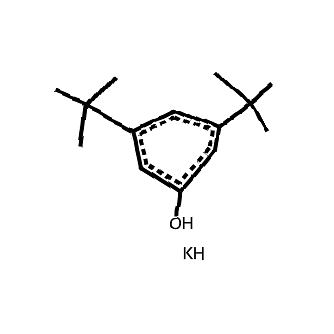 CC(C)(C)c1cc(O)cc(C(C)(C)C)c1.[KH]